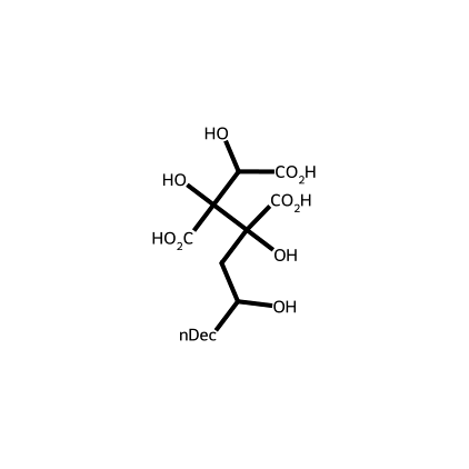 CCCCCCCCCCC(O)CC(O)(C(=O)O)C(O)(C(=O)O)C(O)C(=O)O